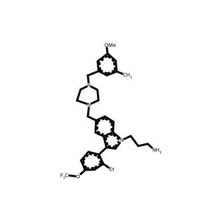 CCc1cc(OC(F)(F)F)ccc1-c1cn(CCCN)c2ccc(CN3CCN(Cc4cc(C)cc(OC)c4)CC3)cc12